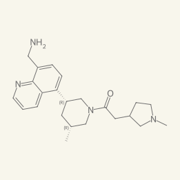 C[C@@H]1C[C@H](c2ccc(CN)c3ncccc23)CN(C(=O)CC2CCN(C)C2)C1